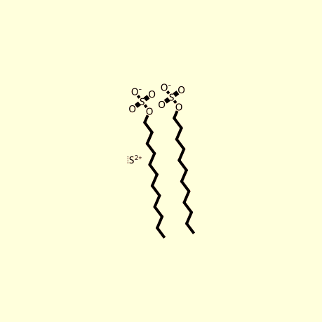 CCCCCCCCCCCCOS(=O)(=O)[O-].CCCCCCCCCCCCOS(=O)(=O)[O-].[S+2]